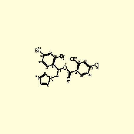 O=C(OC(Cn1ccnc1)c1ccc(Br)cc1Br)c1ccc(Cl)cc1Cl